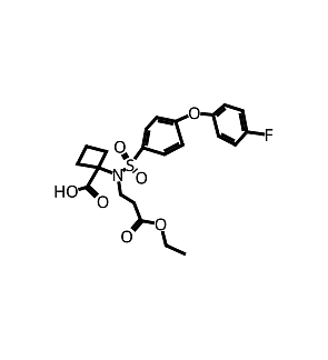 CCOC(=O)CCN(C1(C(=O)O)CCC1)S(=O)(=O)c1ccc(Oc2ccc(F)cc2)cc1